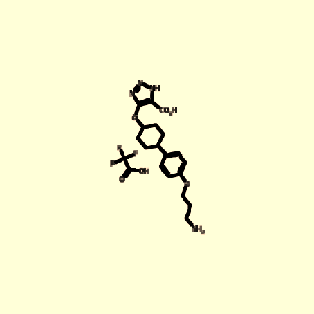 NCCCOc1ccc(C2CCC(Oc3nn[nH]c3C(=O)O)CC2)cc1.O=C(O)C(F)(F)F